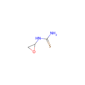 NC(=S)NC1CO1